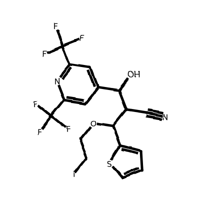 N#CC(C(O)c1cc(C(F)(F)F)nc(C(F)(F)F)c1)C(OCCI)c1cccs1